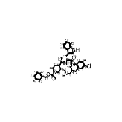 CN(C)CC1Cc2cc(Cl)ccc2N(C(=O)[C@@H](Cc2c[nH]c3ccccc23)NC(=O)C2CCN(C(=O)OCc3ccccc3)CC2)C1